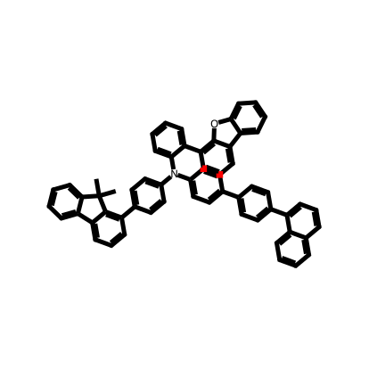 CC1(C)c2ccccc2-c2cccc(-c3ccc(N(c4ccc(-c5ccc(-c6cccc7ccccc67)cc5)cc4)c4ccccc4-c4cccc5c4oc4ccccc45)cc3)c21